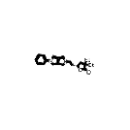 CCC1(CC)C[C@@H](CCN2CC3CN(c4ccccc4)CC3C2)OC1=O